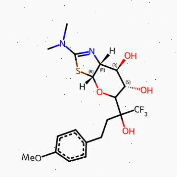 COc1ccc(CCC(O)(C2O[C@@H]3SC(N(C)C)=N[C@@H]3[C@@H](O)[C@@H]2O)C(F)(F)F)cc1